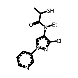 CCN(C(=O)C(C)S)c1cn(-c2cccnc2)nc1Cl